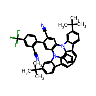 CC(C)(C)c1ccc2c3ccccc3n(-c3cc(C#N)c(-c4ccc(C(F)(F)F)cc4C#N)cc3-n3c4ccccc4c4ccc(C(C)(C)C)cc43)c2c1